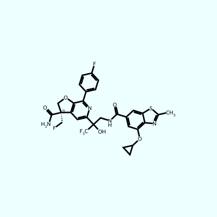 Cc1nc2c(OC3CC3)cc(C(=O)NCC(O)(c3cc4c(c(-c5ccc(F)cc5)n3)OC[C@]4(CF)C(N)=O)C(F)(F)F)cc2s1